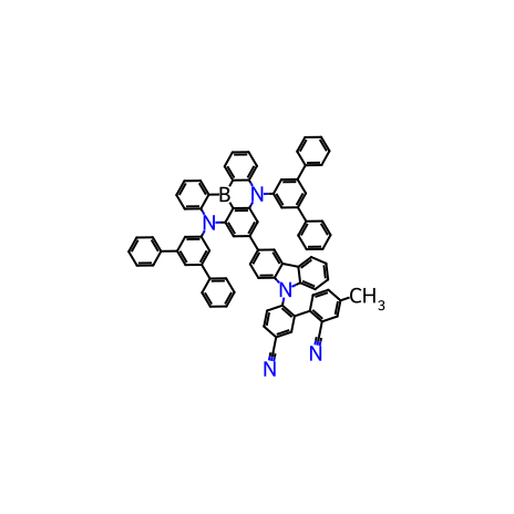 Cc1ccc(-c2cc(C#N)ccc2-n2c3ccccc3c3cc(-c4cc5c6c(c4)N(c4cc(-c7ccccc7)cc(-c7ccccc7)c4)c4ccccc4B6c4ccccc4N5c4cc(-c5ccccc5)cc(-c5ccccc5)c4)ccc32)c(C#N)c1